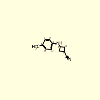 Cc1ccc(NC2CC(C#N)C2)cc1